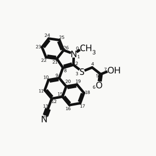 Cn1c(SCC(=O)O)c(-c2ccc(C#N)c3ccccc23)c2ccccc21